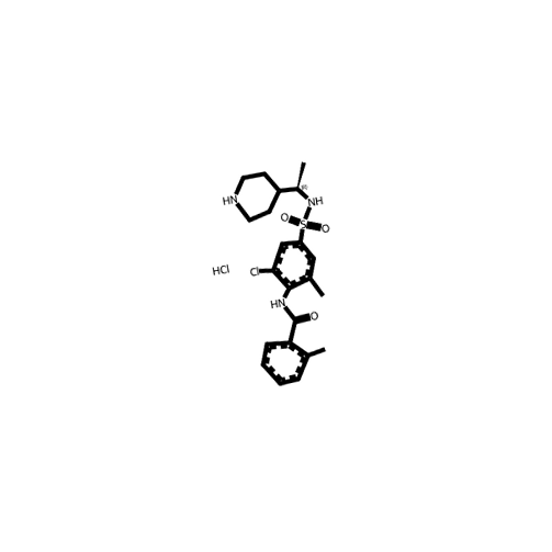 Cc1ccccc1C(=O)Nc1c(C)cc(S(=O)(=O)N[C@H](C)C2CCNCC2)cc1Cl.Cl